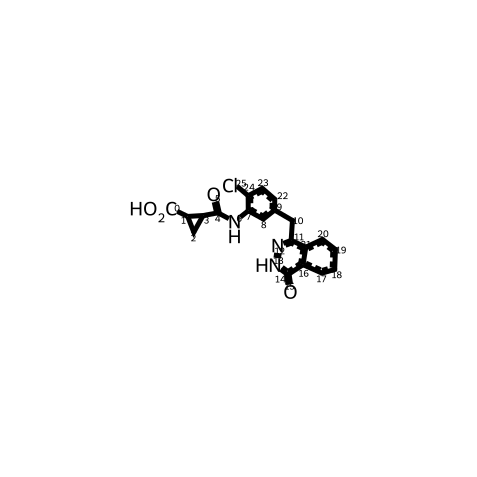 O=C(O)C1CC1C(=O)Nc1cc(Cc2n[nH]c(=O)c3ccccc23)ccc1Cl